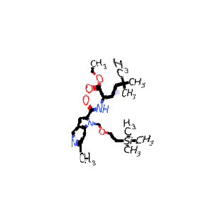 CCOC(=O)C(/C=C/C(C)(C)C)NC(=O)c1cc2cnc(C)cc2n1COCC[Si](C)(C)C